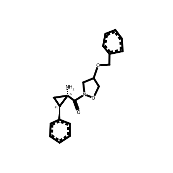 N[C@@]1(C(=O)N2CC(OCc3ccccc3)CO2)C[C@@H]1c1ccccc1